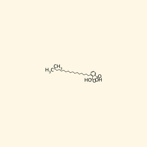 CC(C)CCCCCCCCCCCCCCCc1cccc(C(=O)O)c1C(=O)O